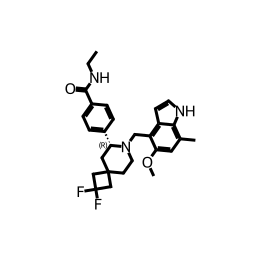 CCNC(=O)c1ccc([C@H]2CC3(CCN2Cc2c(OC)cc(C)c4[nH]ccc24)CC(F)(F)C3)cc1